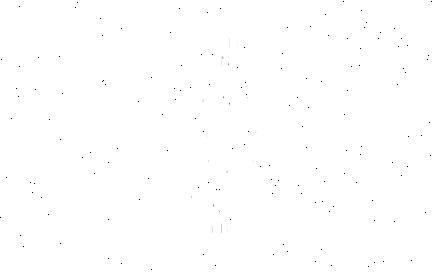 CCCCN(C)Cc1ccc(N2CCN(C(C)C)CC2)cc1